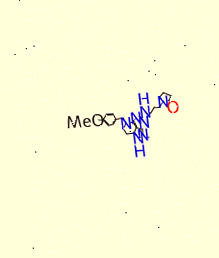 COc1ccc(CN2CCC3NN(C)c4nc(NCCCN5CCCC5=O)nc2c43)cc1